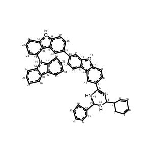 C1=CCC(C2N=C(c3ccc4oc5cc(-c6ccc7oc8cccc(-n9c%10ccccc%10c%10ccccc%109)c8c7c6)ccc5c4c3)NC(c3ccccc3)N2)C=C1